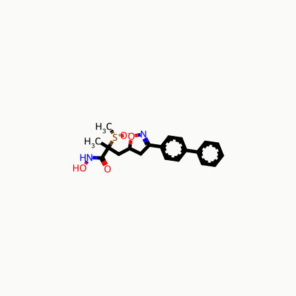 C[S+]([O-])C(C)(CC1CC(c2ccc(-c3ccccc3)cc2)=NO1)C(=O)NO